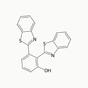 Oc1cccc(-c2nc3ccccc3s2)c1-c1nc2ccccc2s1